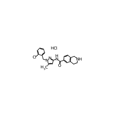 Cc1cc(NC(=O)c2ccc3c(c2)CCNC3)nn1Cc1ccccc1Cl.Cl